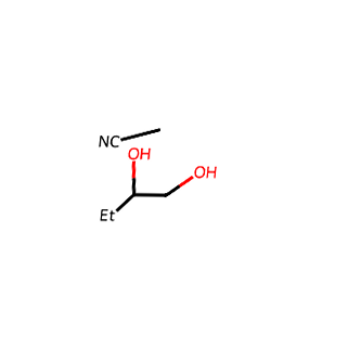 CC#N.CCC(O)CO